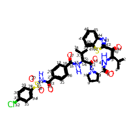 CC(C)C(NC(=O)[C@@H]1CCCN1C(=O)[C@@H](NC(=O)c1ccc(C(=O)NS(=O)(=O)c2ccc(Cl)cc2)cc1)C(C)C)C(=O)c1nc2ccccc2s1